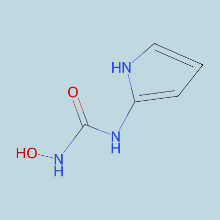 O=C(NO)Nc1ccc[nH]1